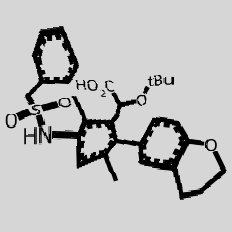 Cc1cc(NS(=O)(=O)Cc2ccccc2)c(C)c(C(OC(C)(C)C)C(=O)O)c1-c1ccc2c(c1)CCCO2